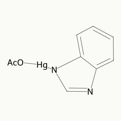 CC(=O)[O][Hg][n]1cnc2ccccc21